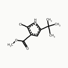 COC(=O)c1cc(C(C)(C)C)[nH]c1Cl